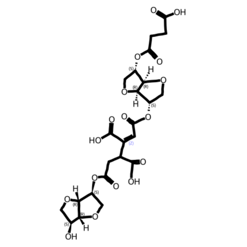 O=C(O)CCC(=O)O[C@H]1CO[C@H]2[C@@H]1OC[C@@H]2OC(=O)/C=C(\C(=O)O)C(CC(=O)O[C@H]1CO[C@H]2[C@@H]1OC[C@@H]2O)C(=O)O